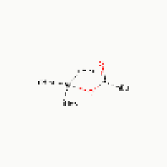 [CH2]CCCC(=O)O[Si](CCCCCC)(CCCCCC)CCCCCC